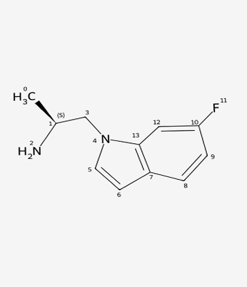 C[C@H](N)Cn1ccc2ccc(F)cc21